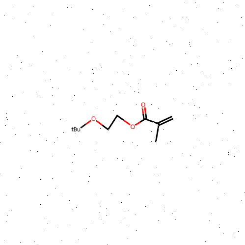 C=C(C)C(=O)OCCOC(C)(C)C